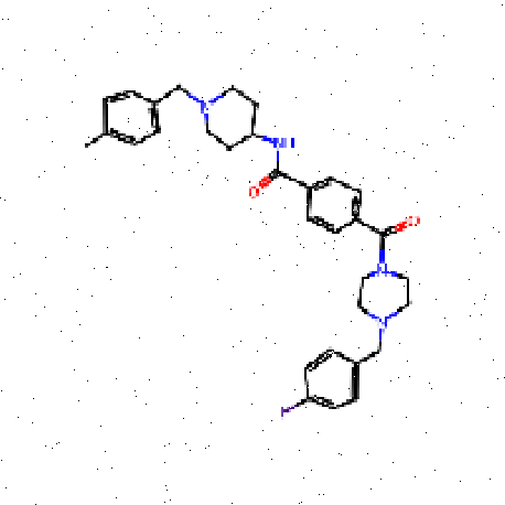 Cc1ccc(CN2CCC(NC(=O)c3ccc(C(=O)N4CCN(Cc5ccc(I)cc5)CC4)cc3)CC2)cc1